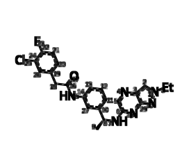 CCn1cc2ncc(N[C@@H](C)c3cccc(NC(=O)Cc4ccc(F)c(Cl)c4)c3)nc2n1